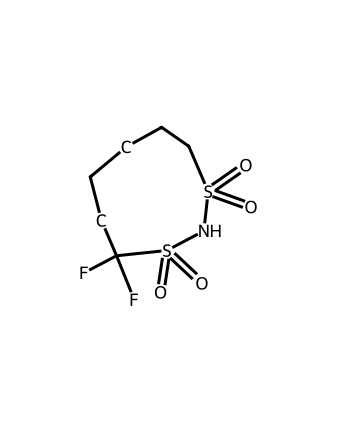 O=S1(=O)CCCCCC(F)(F)S(=O)(=O)N1